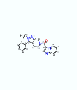 Cn1nc2c(c1-c1ccccc1)CCN(C(=O)c1cnc3ccccn13)C2